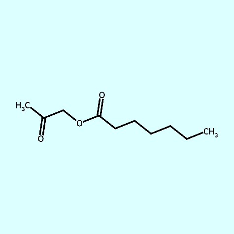 CCCCCCC(=O)OCC(C)=O